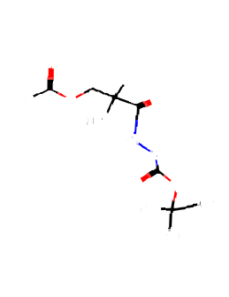 CC(=O)OCC(C)(C)C(=O)NNC(=O)OC(C)(C)C